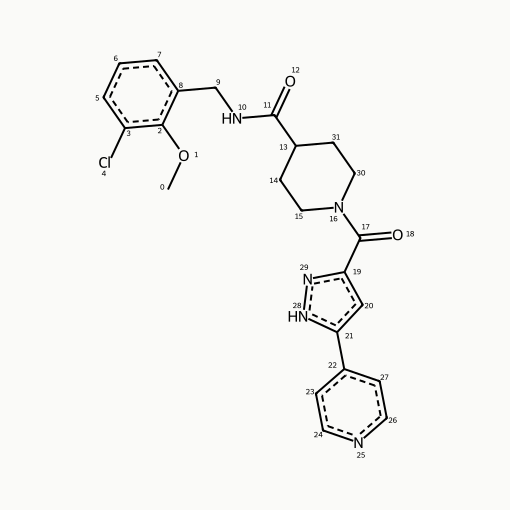 COc1c(Cl)cccc1CNC(=O)C1CCN(C(=O)c2cc(-c3ccncc3)[nH]n2)CC1